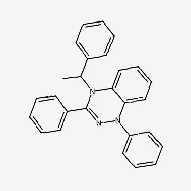 CC(c1ccccc1)N1C(c2ccccc2)=NN(c2ccccc2)c2ccccc21